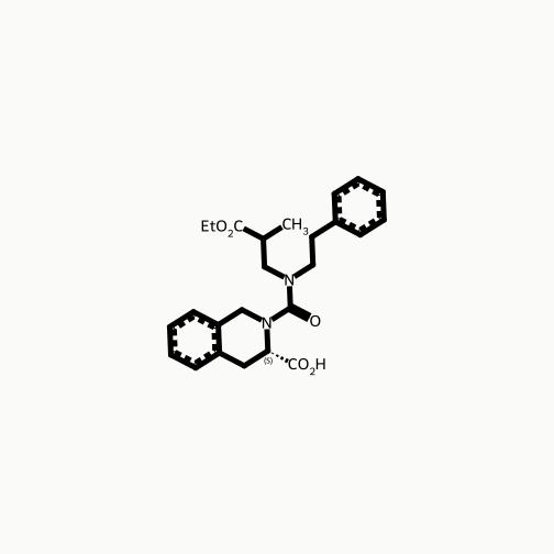 CCOC(=O)C(C)CN(CCc1ccccc1)C(=O)N1Cc2ccccc2C[C@H]1C(=O)O